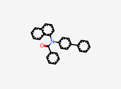 O=C(c1ccccc1)N(c1ccc(-c2ccccc2)cc1)c1cccc2ccccc12